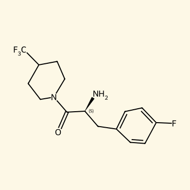 N[C@@H](Cc1ccc(F)cc1)C(=O)N1CCC(C(F)(F)F)CC1